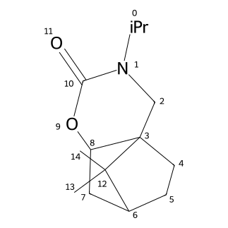 CC(C)N1CC23CCC(CC2OC1=O)C3(C)C